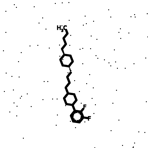 CCCCC[C@H]1CC[C@H](CCCCC2CCC(c3cccc(F)c3F)CC2)CC1